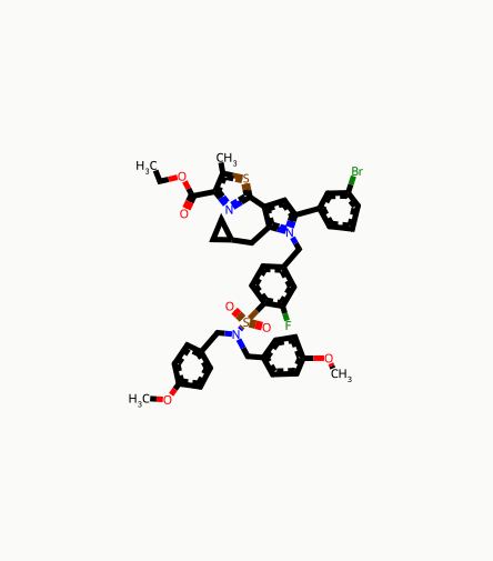 CCOC(=O)c1nc(-c2cc(-c3cccc(Br)c3)n(Cc3ccc(S(=O)(=O)N(Cc4ccc(OC)cc4)Cc4ccc(OC)cc4)c(F)c3)c2CC2CC2)sc1C